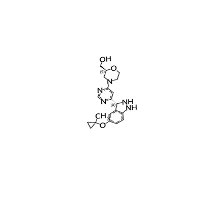 CC1(Oc2ccc3c(c2)[C@H](c2cc(N4CCO[C@H](CO)C4)ncn2)NN3)CC1